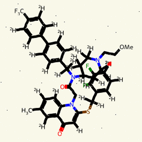 [2H]c1c([2H])c(F)c(F)c(C([2H])([2H])Sc2c([2H])c(=O)c3c([2H])c(C)c([2H])c([2H])c3n2CC(=O)N(C([2H])([2H])c2c([2H])c([2H])c(-c3c([2H])c([2H])c(C(F)(F)F)c([2H])c3[2H])c([2H])c2[2H])C2([2H])C([2H])([2H])C([2H])([2H])N(CCOC)C([2H])([2H])C2([2H])[2H])c1[2H]